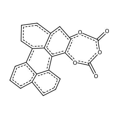 O=c1oc(=O)oc2c(cc3cccc4c5cccc6cccc(c65)c2c34)o1